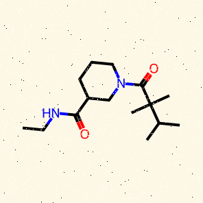 CCNC(=O)C1CCCN(C(=O)C(C)(C)C(C)C)C1